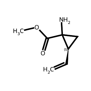 C=C[C@@H]1CC1(N)C(=O)OC